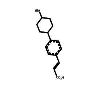 CC(C)(C)C1CCC(c2ccc(C=CC(=O)O)cc2)CC1